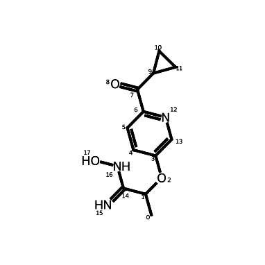 CC(Oc1ccc(C(=O)C2CC2)nc1)C(=N)NO